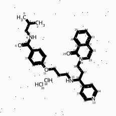 CC(C)CNC(=O)c1ccc(OCCCNC(CCn2ccc3ccccc3c2=O)c2ccncc2)cc1.Cl.Cl